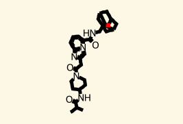 CC(C)C(=O)NC1CCN(C(=O)Cc2cn3c(C(=O)NCC45CC6CC(CC(C6)C4)C5)cccc3n2)CC1